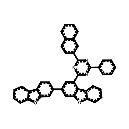 c1ccc(-c2nc(-c3ccc4ccccc4c3)nc(-c3cc(-c4ccc5c(c4)oc4ccccc45)cc4oc5ccccc5c34)n2)cc1